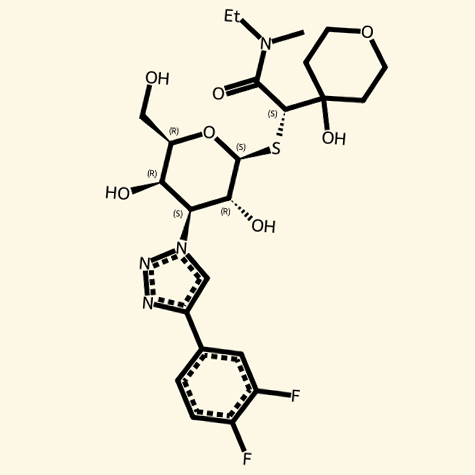 CCN(C)C(=O)[C@@H](S[C@@H]1O[C@H](CO)[C@H](O)[C@H](n2cc(-c3ccc(F)c(F)c3)nn2)[C@H]1O)C1(O)CCOCC1